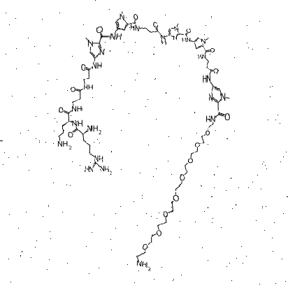 Cn1cc(NC(=O)c2nc(NC(=O)CCNC(=O)c3cc(NC(=O)c4nc(NC(=O)CCNC(=O)CCNC(=O)[C@H](CCCN)NC(=O)[C@@H](N)CCCNC(=N)N)cn4C)cn3C)cn2C)cc1C(=O)NCCC(=O)Nc1cn(C)c(C(=O)NCCOCCOCCOCCOCCOCCOCCOCCOCCN)n1